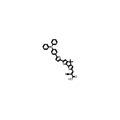 CC1(C)c2cc(/C=C(\C#N)C(=O)O)sc2-c2sc(-c3ccc(-c4ccc(N(c5ccccc5)c5ccccc5)cc4)s3)cc21